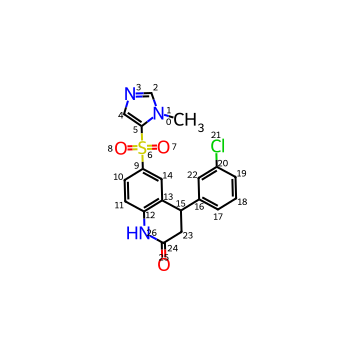 Cn1cncc1S(=O)(=O)c1ccc2c(c1)C(c1cccc(Cl)c1)CC(=O)N2